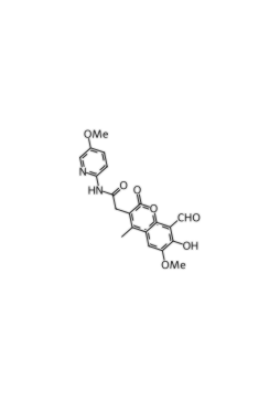 COc1ccc(NC(=O)Cc2c(C)c3cc(OC)c(O)c(C=O)c3oc2=O)nc1